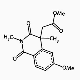 COC(=O)CC1(C)C(=O)N(C)C(=O)c2ccc(OC)cc21